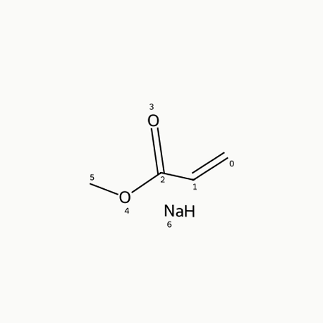 C=CC(=O)OC.[NaH]